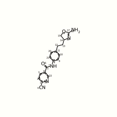 N#Cc1ccc(C(=O)Nc2ccc(CCC3COC(N)=N3)cc2)cn1